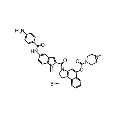 CN1CCN(C(=O)Oc2cc3c(c4ccccc24)[C@H](CBr)CN3C(=O)c2cc3cc(NC(=O)c4ccc(N)cc4)ccc3[nH]2)CC1